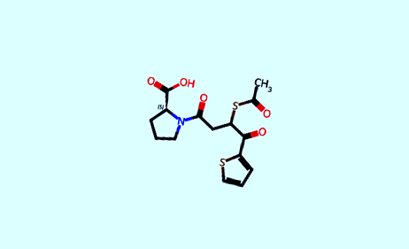 CC(=O)SC(CC(=O)N1CCC[C@H]1C(=O)O)C(=O)c1cccs1